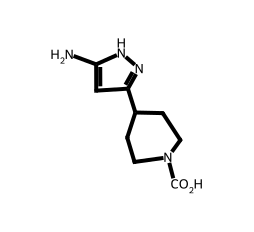 Nc1cc(C2CCN(C(=O)O)CC2)n[nH]1